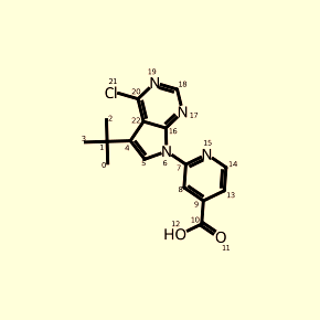 CC(C)(C)c1cn(-c2cc(C(=O)O)ccn2)c2ncnc(Cl)c12